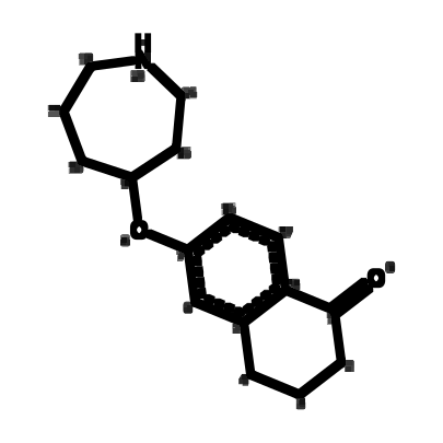 O=C1CCCc2cc(OC3CCCNCC3)ccc21